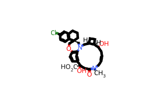 CN1C/C=C\C[C@H](O)[C@@H]2CC[C@H]2CN2C[C@@]3(CCCc4cc(Cl)ccc43)COc3ccc(cc32)[C@](O)(C(=O)O)CC1=O